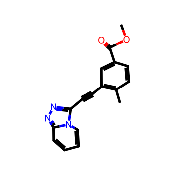 COC(=O)c1ccc(C)c(C#Cc2nnc3ccccn23)c1